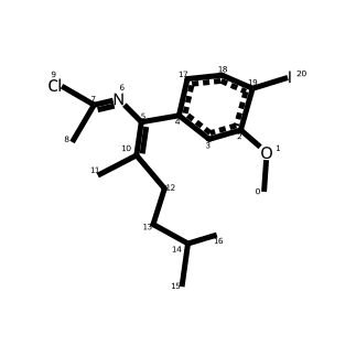 COc1cc(C(/N=C(\C)Cl)=C(/C)CCC(C)C)ccc1I